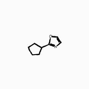 c1coc(C2CCCC2)n1